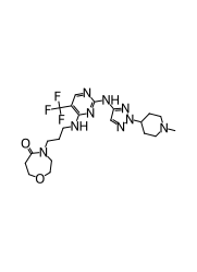 CN1CCC(n2ncc(Nc3ncc(C(F)(F)F)c(NCCCN4CCOCCC4=O)n3)n2)CC1